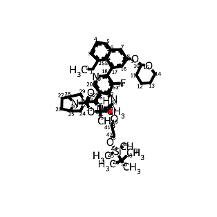 CCc1cccc2cc(OC3CCCCO3)cc(-c3ncc4c(N5CC6CCC(C5)N6C(=O)OC(C)(C)C)nc(OCCO[Si](C)(C)C(C)(C)C)nc4c3F)c12